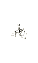 C[C@H]1CC2CC[C@H]3C1C3N2C